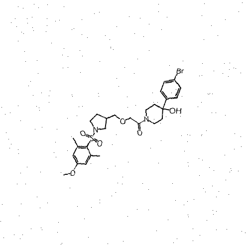 COc1cc(C)c(S(=O)(=O)N2CCC(COCC(=O)N3CCC(O)(c4ccc(Br)cc4)CC3)C2)c(C)c1